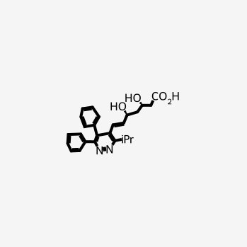 CC(C)c1nnc(-c2ccccc2)c(-c2ccccc2)c1C=C[C@@H](O)C[C@@H](O)CC(=O)O